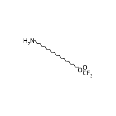 NCCCCCCCCCCCCCCCCCCCOC(=O)C(F)(F)F